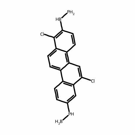 BPc1ccc2c(c1)c(Cl)cc1c3ccc(BP)c(Cl)c3ccc21